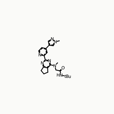 CN(CC(=O)NC(C)(C)C)c1nc(-c2cc(-c3cnn(C)c3)ccn2)nc2c1CCC2